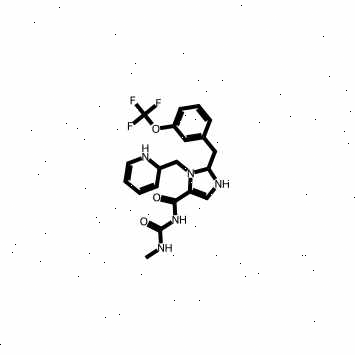 CNC(=O)NC(=O)C1=CNC(Cc2cccc(OC(F)(F)F)c2)N1CC1C=CC=CN1